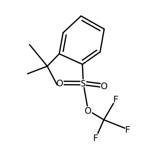 CC(C)(C)c1ccccc1S(=O)(=O)OC(F)(F)F